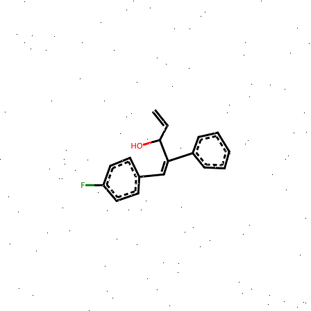 C=CC(O)/C(=C\c1ccc(F)cc1)c1ccccc1